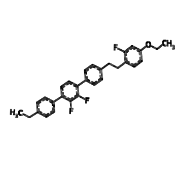 CCOc1ccc(CCc2ccc(-c3ccc(-c4ccc(CC)cc4)c(F)c3F)cc2)c(F)c1